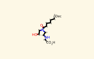 CCCCCCCCCCCCCCCC(=O)N(CCO)CCNCC(=O)O